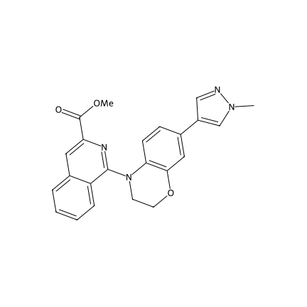 COC(=O)c1cc2ccccc2c(N2CCOc3cc(-c4cnn(C)c4)ccc32)n1